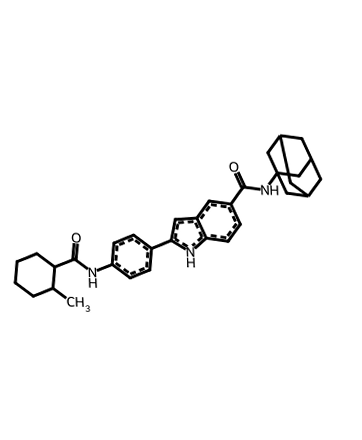 CC1CCCCC1C(=O)Nc1ccc(-c2cc3cc(C(=O)NC45CC6CC(CC(C6)C4)C5)ccc3[nH]2)cc1